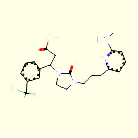 CNc1cccc(CCCN2CCN(C(CC(=O)O)c3cccc(C(F)(F)F)c3)C2=O)n1